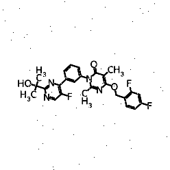 Cc1c(OCc2ccc(F)cc2F)nc(C)n(-c2cccc(-c3nc(C(C)(C)O)ncc3F)c2)c1=O